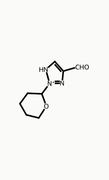 O=Cc1c[nH][n+](C2CCCCO2)n1